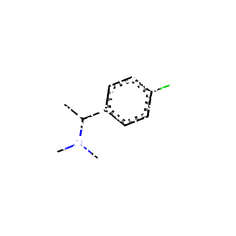 CC(c1ccc(Cl)cc1)N(C)C